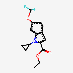 CCOC(=O)c1cc2ccc(OC(F)F)cc2n1C1CC1